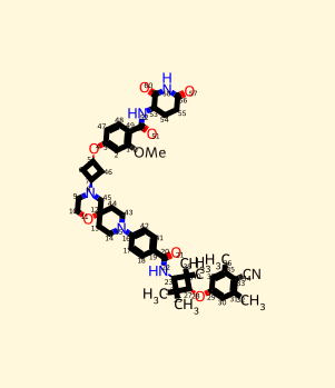 COc1cc(O[C@H]2C[C@H](N3CCOC4(CCN(c5ccc(C(=O)N[C@H]6C(C)(C)[C@H](Oc7cc(C)c(C#N)c(C)c7)C6(C)C)cc5)CC4)C3)C2)ccc1C(=O)NC1CCC(=O)NC1=O